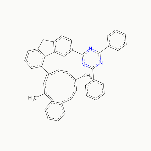 Cc1ccc(-c2cccc3c2-c2cc(-c4nc(-c5ccccc5)nc(-c5ccccc5)n4)ccc2C3)cc(C)c2ccccc2cc1